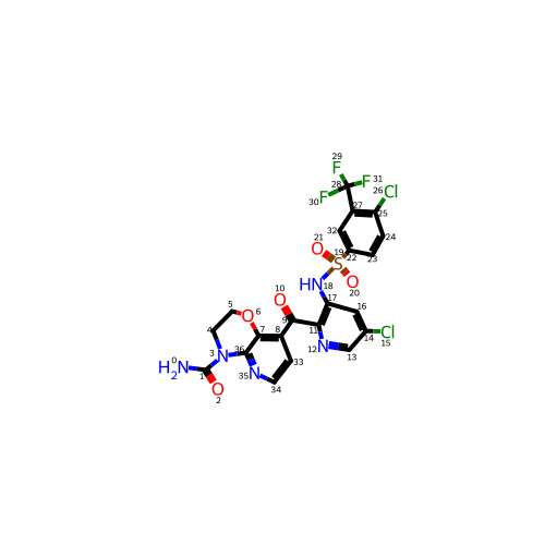 NC(=O)N1CCOc2c(C(=O)c3ncc(Cl)cc3NS(=O)(=O)c3ccc(Cl)c(C(F)(F)F)c3)ccnc21